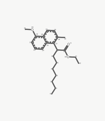 CCCCCCCC(C(=O)OCC)c1c(C)ccc2c(OC)cccc12